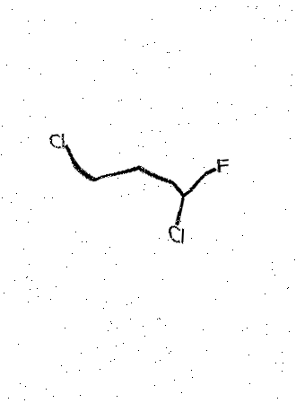 FC(Cl)CCCl